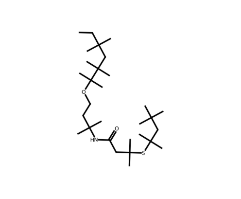 CCC(C)(C)CC(C)(C)C(C)(C)OCCC(C)(C)NC(=O)CC(C)(C)SC(C)(C)CC(C)(C)C